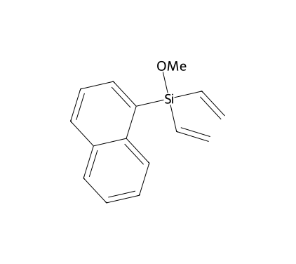 C=C[Si](C=C)(OC)c1cccc2ccccc12